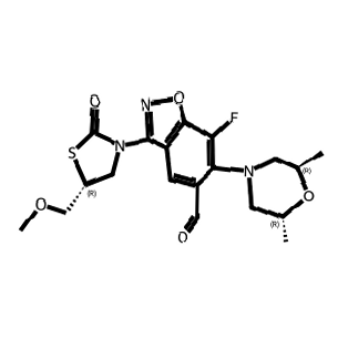 COC[C@H]1CN(c2noc3c(F)c(N4C[C@@H](C)O[C@H](C)C4)c(C=O)cc23)C(=O)S1